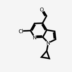 O=Cc1cc(Cl)nc2c1ccn2C1CC1